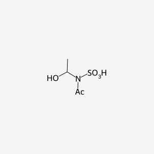 CC(=O)N(C(C)O)S(=O)(=O)O